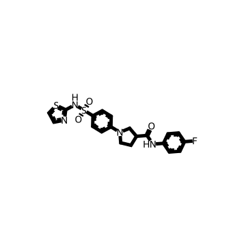 O=C(Nc1ccc(F)cc1)C1CCN(c2ccc(S(=O)(=O)Nc3nccs3)cc2)C1